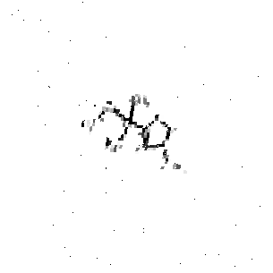 COC(C)(C)C1=N[C@H](C)CO1